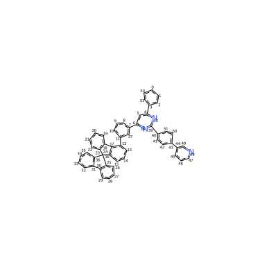 c1ccc(-c2cc(-c3cccc(-c4cccc5c4-c4ccccc4C54c5ccccc5-c5ccccc54)c3)nc(-c3ccc(-c4cccnc4)cc3)n2)cc1